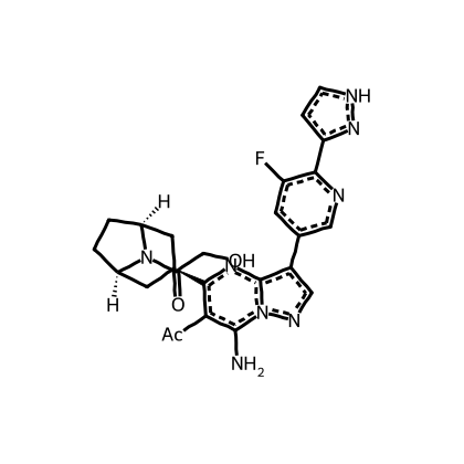 CC(=O)c1c([C@H]2C[C@H]3CC[C@@H](C2)N3C(=O)CO)nc2c(-c3cnc(-c4cc[nH]n4)c(F)c3)cnn2c1N